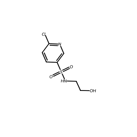 O=S(=O)(NCCO)c1ccc(Cl)nc1